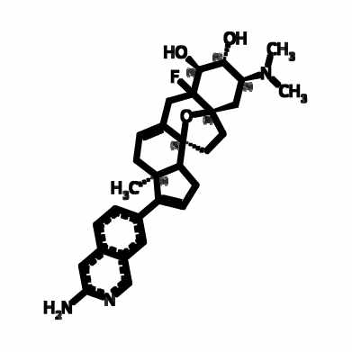 CN(C)[C@H]1C[C@@]23CC[C@@]4(O2)C(=CC[C@]2(C)C(c5ccc6cc(N)ncc6c5)=CCC24)CC3(F)[C@@H](O)[C@@H]1O